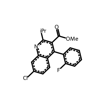 COC(=O)c1c(C(C)C)nc2cc(Cl)ccc2c1-c1ccccc1F